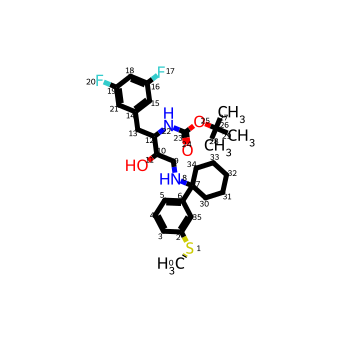 CSc1cccc(C2(NCC(O)C(Cc3cc(F)cc(F)c3)NC(=O)OC(C)(C)C)CCCCC2)c1